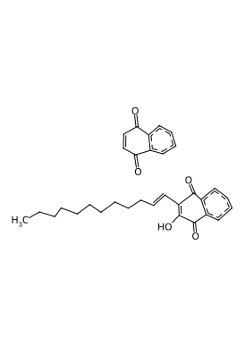 CCCCCCCCCC/C=C/C1=C(O)C(=O)c2ccccc2C1=O.O=C1C=CC(=O)c2ccccc21